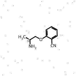 C[C@H](N)COc1ccccc1C#N